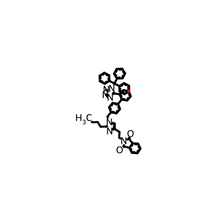 CCCCc1nc(CCN2C(=O)c3ccccc3C2=O)cn1Cc1ccc(-c2ccccc2-c2nnnn2C(c2ccccc2)(c2ccccc2)c2ccccc2)cc1